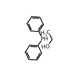 CCO.c1ccc(Pc2ccccc2)cc1